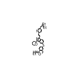 CCNC(=O)c1ccc(Sc2ccc3c(/C=C/c4ccc(CN(CC)CC)cn4)nn(C4CCCCO4)c3c2)cc1F